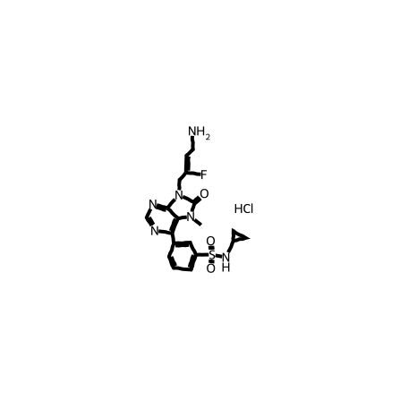 Cl.Cn1c(=O)n(C/C(F)=C/CN)c2ncnc(-c3cccc(S(=O)(=O)NC4CC4)c3)c21